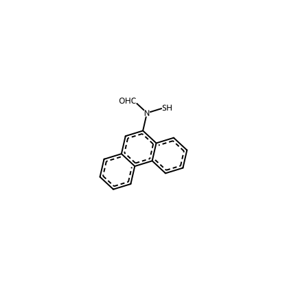 O=CN(S)c1cc2ccccc2c2ccccc12